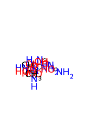 CN[C@@H]1[C@@H](O)[C@@H](O[C@H]2[C@H](NC(=O)C3(O)CNC3)C[C@H](N)C([C@H]3OC(CNCC4(O)CC(N)C4)=CC[C@H]3N)[C@@H]2O)OC[C@]1(C)O